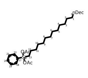 CCCCCCCCCCCCCCCCCCCCCCC[Si](OC(C)=O)(OC(C)=O)c1ccccc1